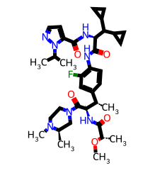 CO[C@@H](C)C(=O)N[C@@H](C(=O)N1CCN(C)[C@H](C)C1)[C@@H](C)c1ccc(NC(=O)[C@@H](NC(=O)c2ccnn2C(C)C)C(C2CC2)C2CC2)c(F)c1